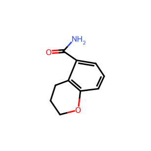 NC(=O)c1cccc2c1CCCO2